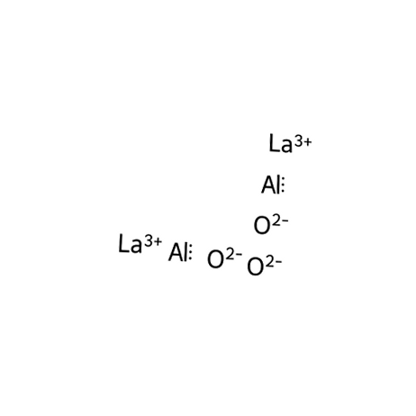 [Al].[Al].[La+3].[La+3].[O-2].[O-2].[O-2]